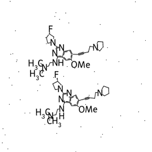 COc1cc2c(NCCN(C)C)nc(N3CC[C@@H](F)C3)nc2cc1C#CCCN1CCCC1.COc1cc2c(NCCN(C)C)nc(N3CC[C@@H](F)C3)nc2cc1C#CCCN1CCCC1